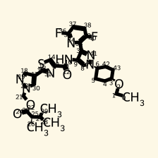 CCO[C@H]1CC[C@H](n2cc(NC(=O)c3csc(-c4cnn(COC(=O)[C@@H](C)C(C)C)c4)n3)c(-c3nc(F)ccc3F)n2)CC1